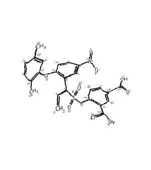 C=CC(c1cc([N+](=O)[O-])ccc1Oc1cc(C)ccc1C)S(=O)(=O)Cc1ccc(C(=O)O)cc1C(=O)O